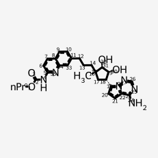 CCCOC(=O)Nc1ccc2ccc(CCC[C@@]3(C)C[C@@H](c4ccc5c(N)ncnn45)[C@H](O)[C@@H]3O)cc2n1